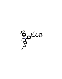 CC/C(=C(\c1ccc(OCOC)cc1)c1ccc(OCC(CN2CCCC2)OC(C)=O)cc1)c1ccc2c(c1)OCO2